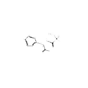 CCC(C)(C)C(=O)N[C@H](C(N)=O)c1ccccc1